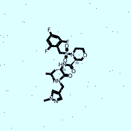 CC(C)C[C@H](NC(=O)[C@@H]1COCCN1S(=O)(=O)Cc1c(F)cc(F)cc1F)C(=O)NCc1cnn(C)c1